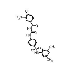 Cc1cc(C)nc(NS(=O)(=O)c2ccc(NC(=S)NC(=O)c3ccc(Cl)c([N+](=O)[O-])c3)cc2)n1